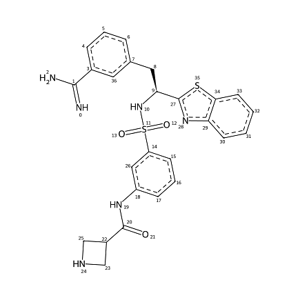 N=C(N)c1cccc(C[C@H](NS(=O)(=O)c2cccc(NC(=O)C3CNC3)c2)c2nc3ccccc3s2)c1